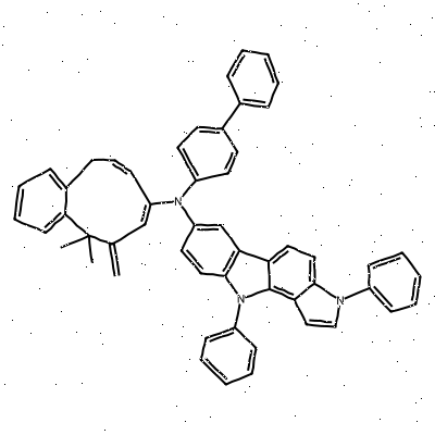 C=C1/C=C(N(c2ccc(-c3ccccc3)cc2)c2ccc3c(c2)c2ccc4c(ccn4-c4ccccc4)c2n3-c2ccccc2)\C=C/Cc2ccccc2C1(C)C